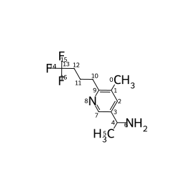 Cc1cc(C(C)N)cnc1CCCC(F)(F)F